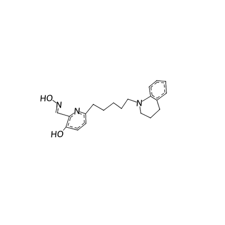 ON=Cc1nc(CCCCCN2CCCc3ccccc32)ccc1O